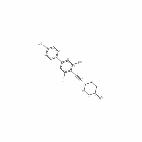 CCCCc1ccc(-c2cc(F)c(C#C[C@H]3CC[C@H](CCC)CC3)c(F)c2)cc1